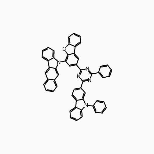 c1ccc(-c2nc(-c3cc(-n4c5ccccc5c5cc6ccccc6cc54)c4oc5ccccc5c4c3)nc(-c3ccc4c5ccccc5n(-c5ccccc5)c4c3)n2)cc1